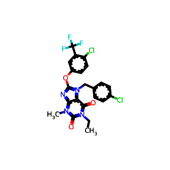 CCn1c(=O)c2c(nc(Oc3ccc(Cl)c(C(F)(F)F)c3)n2Cc2ccc(Cl)cc2)n(C)c1=O